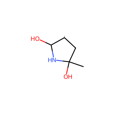 CC1(O)C[CH]C(O)N1